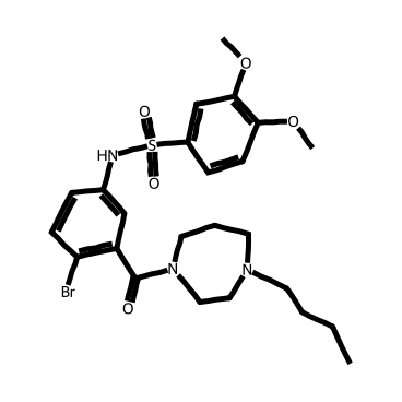 CCCCN1CCCN(C(=O)c2cc(NS(=O)(=O)c3ccc(OC)c(OC)c3)ccc2Br)CC1